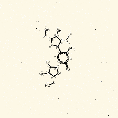 Nc1nc(=O)n([C@@H]2O[C@H](CO)[C@@H](O)C2F)cc1C1O[C@H](CO)[C@@H](O)[C@@H]1OI